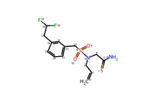 C=CCN(CC(N)=S)S(=O)(=O)Cc1cccc(CC(F)F)c1